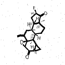 C=C1C[C@H]2[C@@H]3C[C@@H](F)C(=O)[C@@]3(C)CC[C@@H]2[C@@]2(C)C3C[C@@H]3C(=O)C3OC132